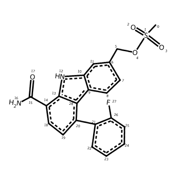 CS(=O)(=O)OCc1ccc2c(c1)[nH]c1c(C(N)=O)ccc(-c3ccccc3F)c12